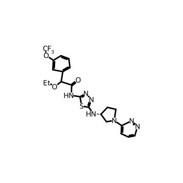 CCOC(C(=O)Nc1nnc(N[C@@H]2CCN(c3cccnn3)C2)s1)c1cccc(OC(F)(F)F)c1